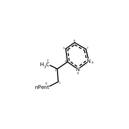 CCCCCCC(C)c1cccnn1